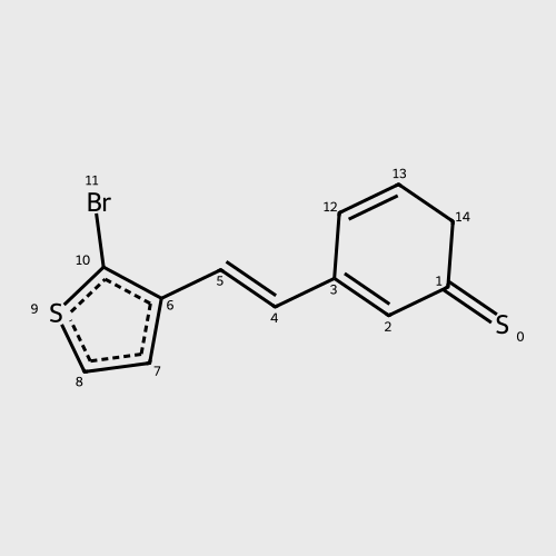 S=C1C=C(/C=C/c2ccsc2Br)C=CC1